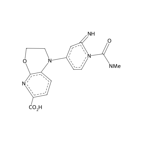 CNC(=O)n1ccc(N2CCOc3nc(C(=O)O)ccc32)cc1=N